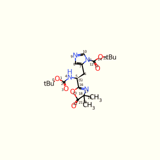 CC(C)(C)OC(=O)N[C@@H](Cc1cncn1C(=O)OC(C)(C)C)C1=NC(C)(C)C(=O)O1